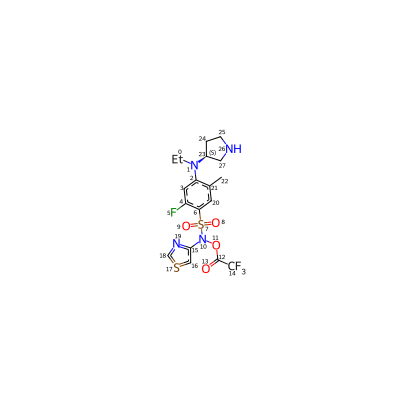 CCN(c1cc(F)c(S(=O)(=O)N(OC(=O)C(F)(F)F)c2cscn2)cc1C)[C@H]1CCNC1